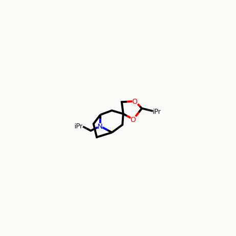 CC(C)CN1C2CCC1CC1(COC(C(C)C)O1)C2